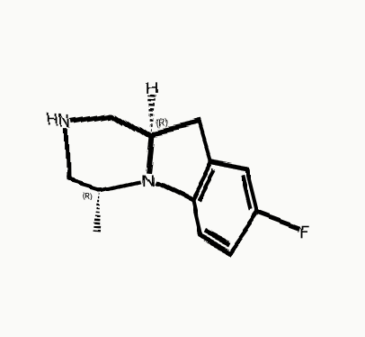 C[C@@H]1CNC[C@H]2Cc3cc(F)ccc3N21